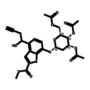 C#CCC(O)c1ccc(O[C@H]2C[C@@H](OC(C)=O)[C@@H](OC(C)=O)[C@@H](COC(C)=O)O2)c2sc(C(=O)OC)cc12